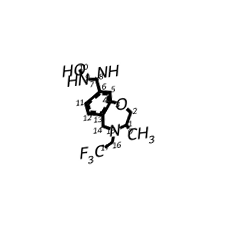 CC1COc2cc(C(=N)NO)ccc2CN1CC(F)(F)F